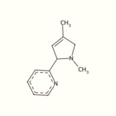 CC1=CC(c2ccccn2)N(C)C1